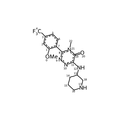 COc1cc(C(F)(F)F)ccc1-c1nnc(NC2CCCNC2)c(=O)n1C